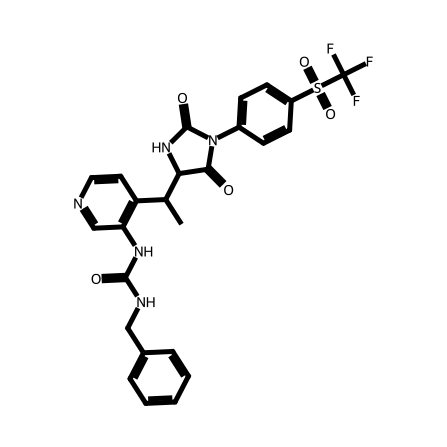 CC(c1ccncc1NC(=O)NCc1ccccc1)C1NC(=O)N(c2ccc(S(=O)(=O)C(F)(F)F)cc2)C1=O